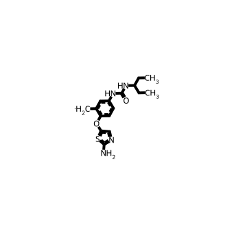 [CH2]c1cc(NC(=O)NC(CC)CC)ccc1Oc1cnc(N)s1